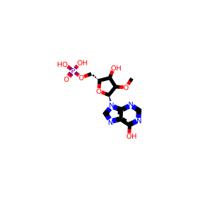 COC1C(O)[C@@H](COP(=O)(O)O)O[C@H]1n1cnc2c(O)ncnc21